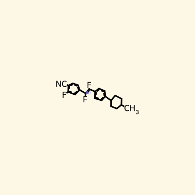 CC1CCC(c2ccc(/C(F)=C(\F)c3ccc(C#N)c(F)c3)cc2)CC1